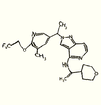 C=C(Nc1nccc2nn(C(C)c3cnc(OCC(F)(F)F)c(C)c3)cc12)C1CCOCC1